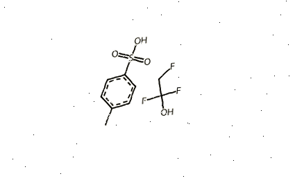 Cc1ccc(S(=O)(=O)O)cc1.OC(F)(F)CF